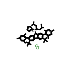 Cc1cc(C)c(-c2cc3c(cc2C(C)(C)C)-c2cc(C(C)(C)C)c(-c4c(C)cc(C)cc4C)cc2[CH]3[Zr+2]([C]2=CC=CC2)=[C](CC(C)C)CC(C)C)c(C)c1.[Cl-].[Cl-]